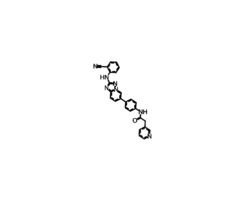 N#Cc1ccccc1Nc1nc2ccc(-c3ccc(NC(=O)Cc4cccnc4)cc3)cn2n1